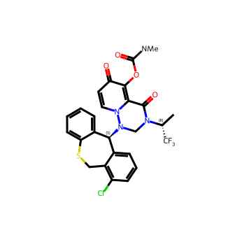 CNC(=O)Oc1c2n(ccc1=O)N([C@@H]1c3ccccc3SCc3c(Cl)cccc31)CN([C@H](C)C(F)(F)F)C2=O